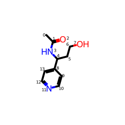 CC(=O)NC(CCO)c1ccncc1